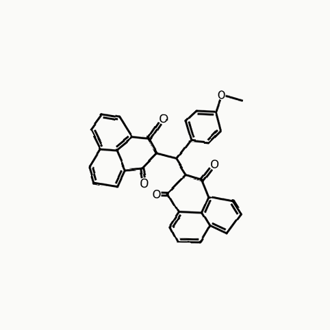 COc1ccc(C(C2C(=O)c3cccc4cccc(c34)C2=O)C2C(=O)c3cccc4cccc(c34)C2=O)cc1